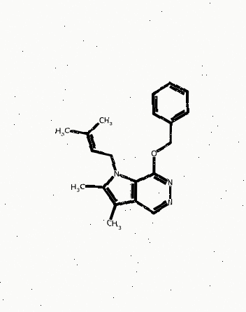 CC(C)=CCn1c(C)c(C)c2cnnc(OCc3ccccc3)c21